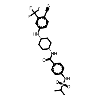 CC(C)S(=O)(=O)Nc1ccc(C(=O)N[C@H]2CC[C@@H](Nc3ccc(C#N)c(C(F)(F)F)c3)CC2)cc1